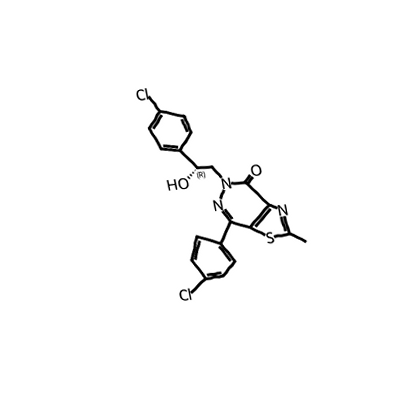 Cc1nc2c(=O)n(C[C@H](O)c3ccc(Cl)cc3)nc(-c3ccc(Cl)cc3)c2s1